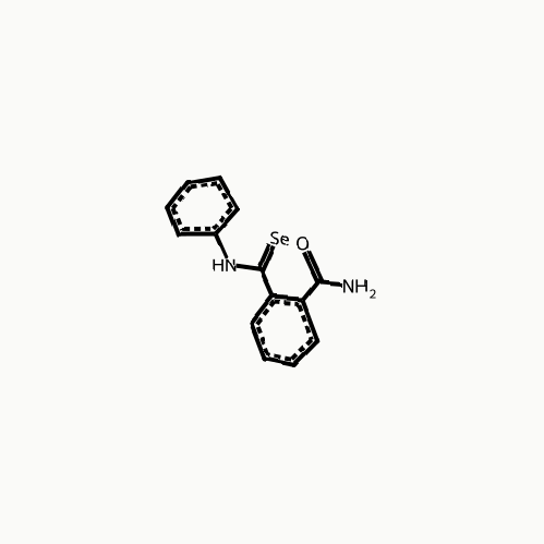 NC(=O)c1ccccc1C(=[Se])Nc1ccccc1